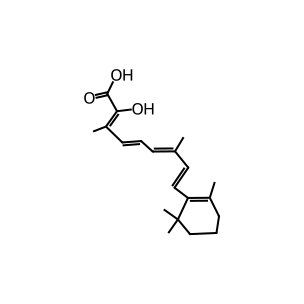 CC(C=CC1=C(C)CCCC1(C)C)=CC=CC(C)=C(O)C(=O)O